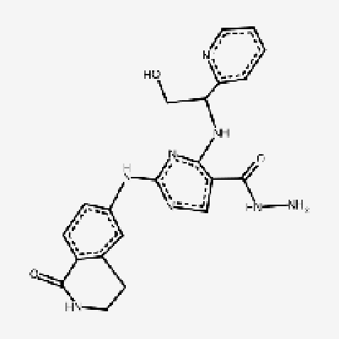 NNC(=O)c1cnc(Nc2ccc3c(c2)CCNC3=O)nc1NC(CO)c1ccccn1